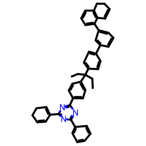 CCC(CC)(c1ccc(-c2cccc(-c3cccc4c3C=CCC4)c2)cc1)c1ccc(-c2nc(C3=CCCC=C3)nc(-c3ccccc3)n2)cc1